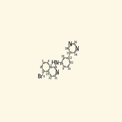 Brc1cccc2c(Nc3cccc(-c4cncnc4)c3)nccc12